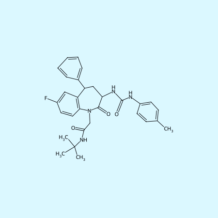 Cc1ccc(NC(=O)NC2CC(c3ccccc3)c3cc(F)ccc3N(CC(=O)NC(C)(C)C)C2=O)cc1